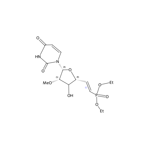 CCOP(=O)(/C=C/[C@H]1O[C@@H](n2ccc(=O)[nH]c2=O)[C@@H](OC)C1O)OCC